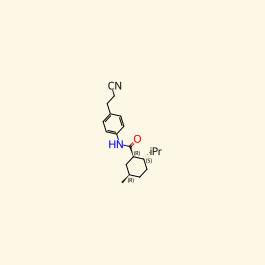 CC(C)[C@@H]1CC[C@@H](C)C[C@H]1C(=O)Nc1ccc(CCC#N)cc1